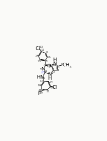 Cc1cc(N/C(=N\C(=O)c2ccc(Cl)cc2)Nc2cc(F)cc(Cl)c2)n[nH]1